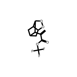 C=C(C(=O)OC(F)(F)F)C1C2CC3OOC1C3C2